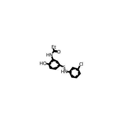 CCC(=O)Nc1cc(SNc2cccc(Cl)c2)ccc1O